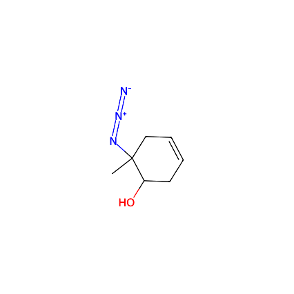 CC1(N=[N+]=[N-])CC=CCC1O